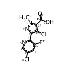 Cn1nc(-c2ncc(Cl)cc2F)c(Cl)c1C(=O)O